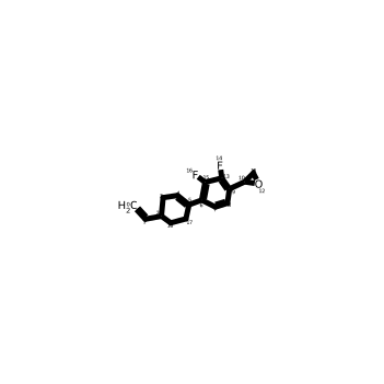 C=CC1CC=C(c2ccc(C3CO3)c(F)c2F)CC1